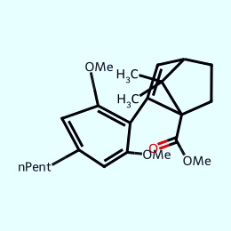 CCCCCc1cc(OC)c(C2=CC3CCC2(C(=O)OC)C3(C)C)c(OC)c1